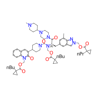 CCCCC1(C(=O)OCN(C(=O)N2CCC(c3cc4ccccc4n(COC(=O)C4(CCCC)CC4)c3=O)CC2)[C@H](Cc2cc(C)c3nn(COC(=O)C4(CCC)CC4)cc3c2)C(=O)N2CCN(C3CCN(C)CC3)CC2)CC1